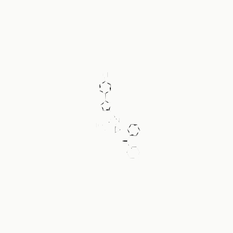 O=C(c1ccccc1[C@@H]1C[C@]1(NS(=O)(=O)c1ccc(-c2ccc(Cl)cc2)s1)C(=O)O)N1CCOCC1